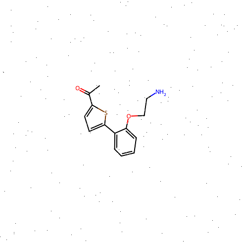 CC(=O)c1ccc(-c2ccccc2OCCN)s1